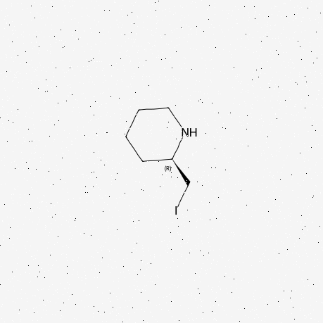 IC[C@H]1CCCCN1